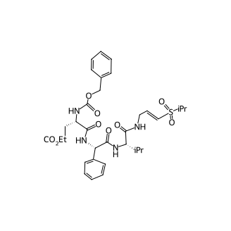 CCOC(=O)C[C@H](NC(=O)OCc1ccccc1)C(=O)N[C@H](C(=O)N[C@H](C(=O)NC/C=C/S(=O)(=O)C(C)C)C(C)C)c1ccccc1